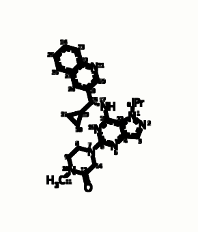 CC(C)n1ncc2nc(N3CCN(C)C(=O)C3)nc(N[C@@H](c3cnc4ccccc4c3)C3CC3)c21